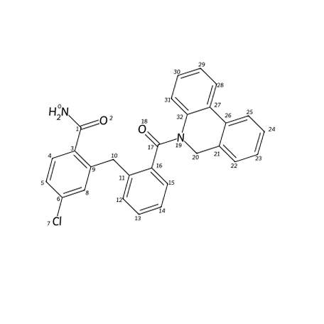 NC(=O)c1ccc(Cl)cc1Cc1ccccc1C(=O)N1Cc2ccccc2-c2ccccc21